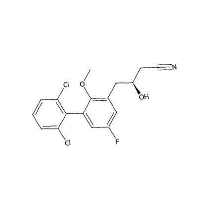 COc1c(C[C@H](O)CC#N)cc(F)cc1-c1c(Cl)cccc1Cl